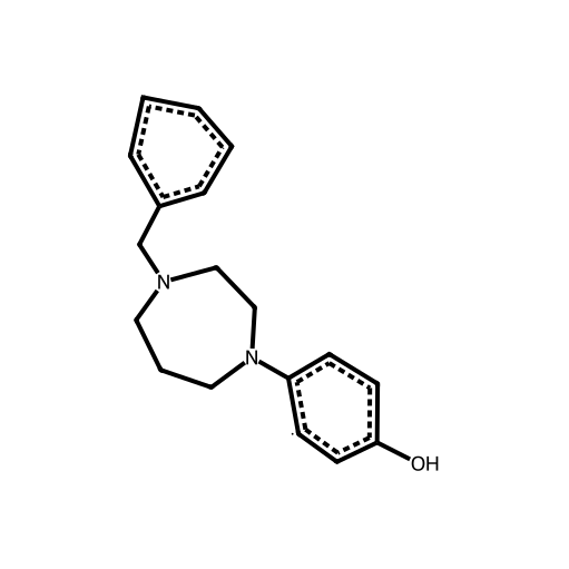 Oc1c[c]c(N2CCCN(Cc3ccccc3)CC2)cc1